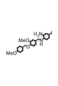 COc1ccc(COc2ccc(CNc3ccc(I)cc3N)cc2OC)cc1